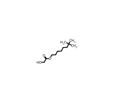 CC(C)(C)CCCCCCOC(=O)CO